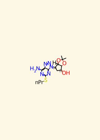 CCCSc1nc(N)c2nnn([C@@H]3C[C@H](O)C4OC(C)(C)O[C@H]43)c2n1